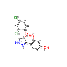 Oc1ccc(-c2n[nH]cc2Oc2ccc(Cl)cc2Cl)c(O)c1